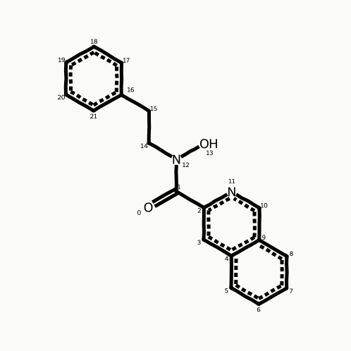 O=C(c1cc2ccccc2cn1)N(O)CCc1ccccc1